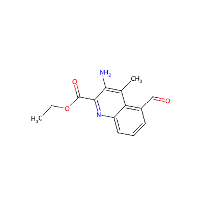 CCOC(=O)c1nc2cccc(C=O)c2c(C)c1N